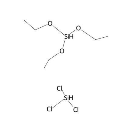 CCO[SiH](OCC)OCC.Cl[SiH](Cl)Cl